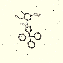 Cc1cc(C(=O)O)cc(C(=O)O)c1CCl.c1ccc(C(c2ccccc2)(c2ccccc2)n2ccnc2)cc1